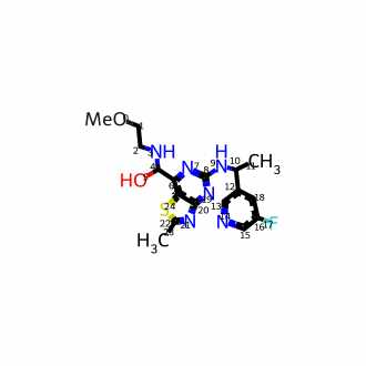 COCCNC(O)c1nc(NC(C)c2cncc(F)c2)nc2nc(C)sc12